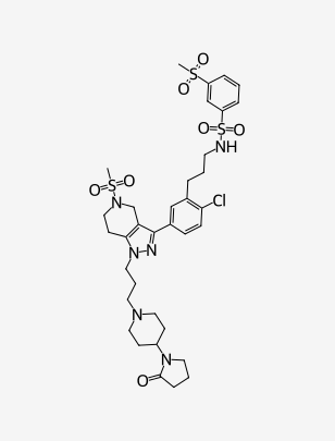 CS(=O)(=O)c1cccc(S(=O)(=O)NCCCc2cc(-c3nn(CCCN4CCC(N5CCCC5=O)CC4)c4c3CN(S(C)(=O)=O)CC4)ccc2Cl)c1